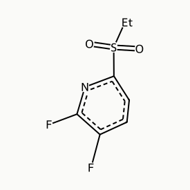 CCS(=O)(=O)c1ccc(F)c(F)n1